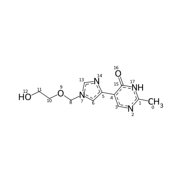 Cc1ncc(-c2cn(COCCO)cn2)c(=O)[nH]1